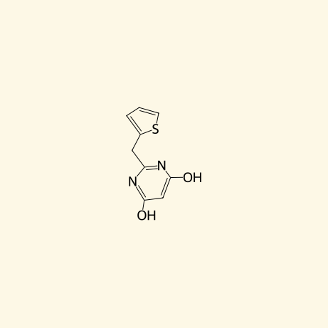 Oc1cc(O)nc(Cc2cccs2)n1